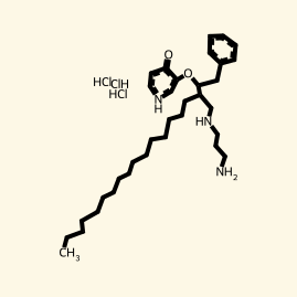 CCCCCCCCCCCCCCCCC(CNCCCN)C(Cc1ccccc1)Oc1c[nH]ccc1=O.Cl.Cl.Cl